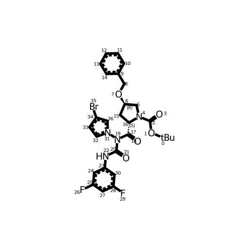 CC(C)(C)OC(=O)N1C[C@H](OCc2ccccc2)C[C@H]1C(=O)N(C(=O)Nc1cc(F)cc(F)c1)n1ccc(Br)c1